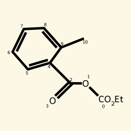 CCOC(=O)OC(=O)c1ccccc1C